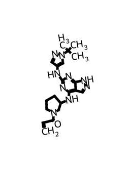 C=CC(=O)N1CCCC(Nc2nc(Nc3cnn(C(C)(C)C)c3)nc3[nH]ncc23)C1